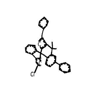 CC1(C)c2cc(-c3ccccc3)ccc2C2(c3ccccc3-c3cc(Cl)ccc32)c2ccc(-c3ccccc3)cc21